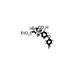 CCCCC(C(=O)O)N(CCC(=O)OCC)S(=O)(=O)c1ccc(Oc2ccc(F)cc2)cc1